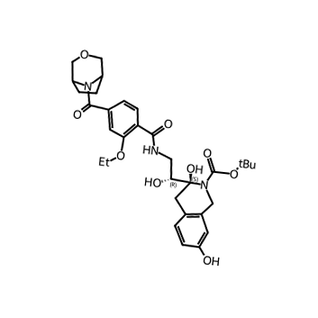 CCOc1cc(C(=O)N2C3CCC2COC3)ccc1C(=O)NC[C@@H](O)[C@@]1(O)Cc2ccc(O)cc2CN1C(=O)OC(C)(C)C